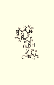 Cc1ccc(NC(=O)c2cc(Cl)nc(C(C)(C)C)c2)cc1-n1ccc2ncc(-c3cccnc3)n21